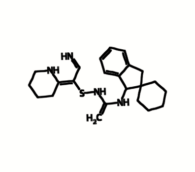 C=C(NS/C(C=N)=C1\CCCCN1)NC1c2ccccc2CC12CCCCC2